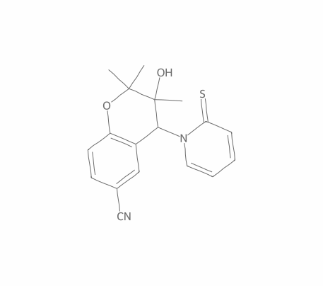 CC1(C)Oc2ccc(C#N)cc2C(n2ccccc2=S)C1(C)O